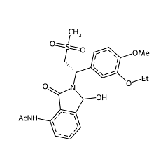 CCOc1cc([C@@H](CS(C)(=O)=O)N2C(=O)c3c(NC(C)=O)cccc3C2O)ccc1OC